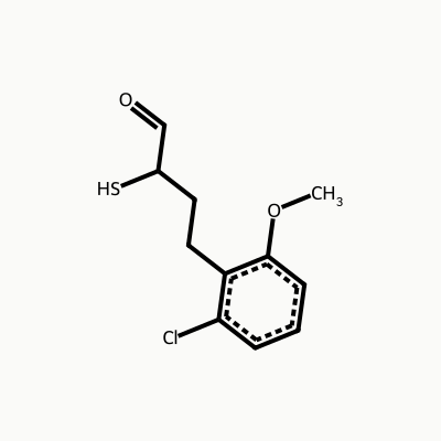 COc1cccc(Cl)c1CCC(S)C=O